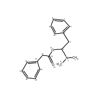 CN(C)C(Cc1ccccc1)OC(=O)Cc1ccccc1